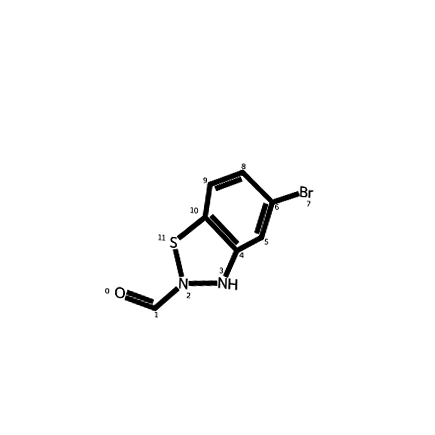 O=CN1Nc2cc(Br)ccc2S1